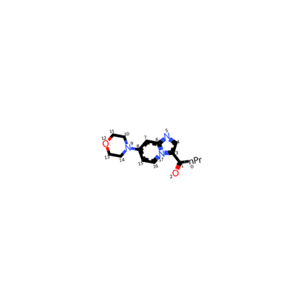 CCCC(=O)c1cnc2cc(N3CCOCC3)ccn12